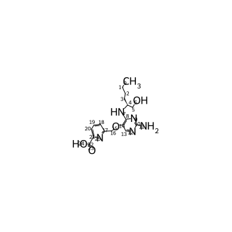 CCCC[C@@H](CO)Nc1nc(N)ncc1OCc1cccc(C(=O)O)n1